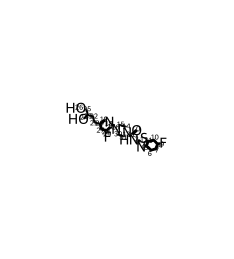 O=C(Nc1nc2ccc(F)cc2s1)N1CCN(c2ncc(CCC(O)CO)cc2F)CC1